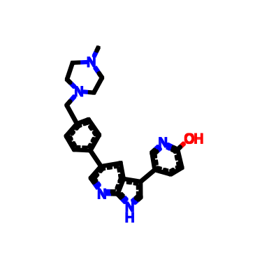 CN1CCN(Cc2ccc(-c3cnc4[nH]cc(-c5ccc(O)nc5)c4c3)cc2)CC1